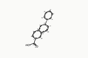 O=C(O)c1ccc2cc(-c3ccccc3)ccc2c1